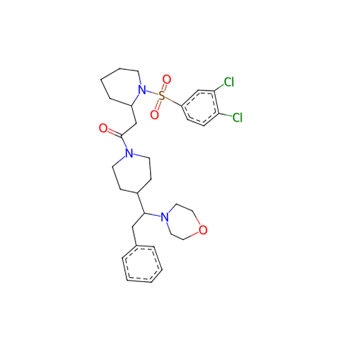 O=C(CC1CCCCN1S(=O)(=O)c1ccc(Cl)c(Cl)c1)N1CCC(C(Cc2ccccc2)N2CCOCC2)CC1